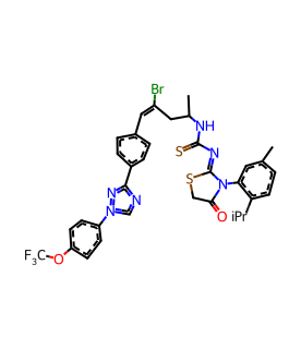 Cc1ccc(C(C)C)c(N2C(=O)CS/C2=N\C(=S)NC(C)C/C(Br)=C\c2ccc(-c3ncn(-c4ccc(OC(F)(F)F)cc4)n3)cc2)c1